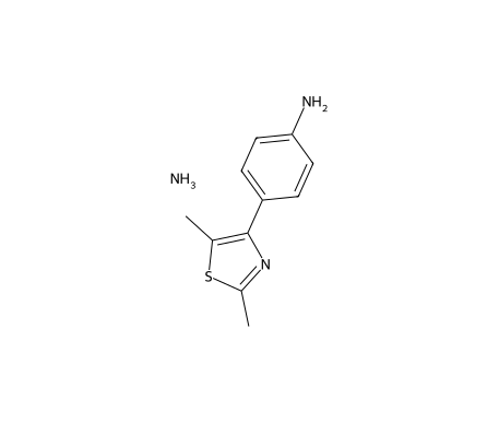 Cc1nc(-c2ccc(N)cc2)c(C)s1.N